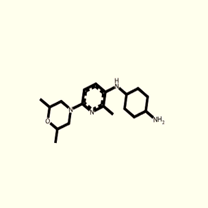 Cc1nc(N2CC(C)OC(C)C2)ccc1NC1CCC(N)CC1